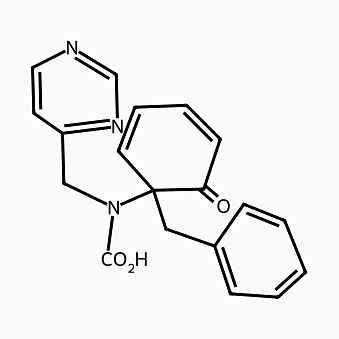 O=C(O)N(Cc1ccncn1)C1(Cc2ccccc2)C=CC=CC1=O